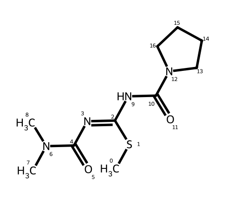 CSC(=NC(=O)N(C)C)NC(=O)N1CCCC1